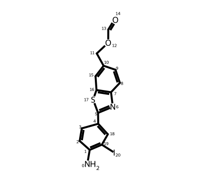 Nc1ccc(-c2nc3ccc(COC=O)cc3s2)cc1I